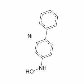 ONc1ccc(-c2ccccc2)cc1.[Ni]